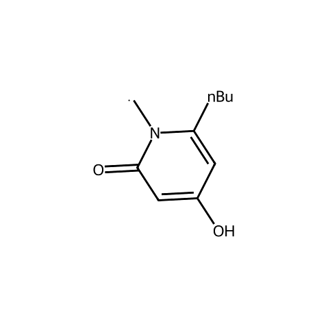 [CH2]n1c(CCCC)cc(O)cc1=O